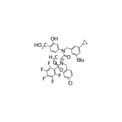 C[C@H](C(=O)N(Cc1cc(C2CC2)cc(C(C)(C)C)c1)c1ccc(C(=O)O)c(O)c1)N(Cc1ccc(Cl)cc1)S(=O)(=O)c1c(F)c(F)c(F)c(F)c1F